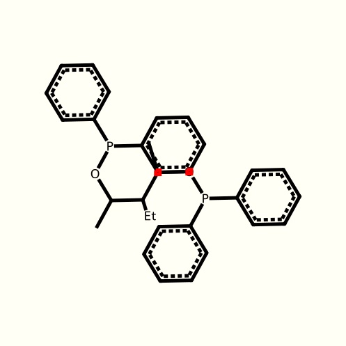 CCC(C(C)OP(c1ccccc1)c1ccccc1)C(C)OP(c1ccccc1)c1ccccc1